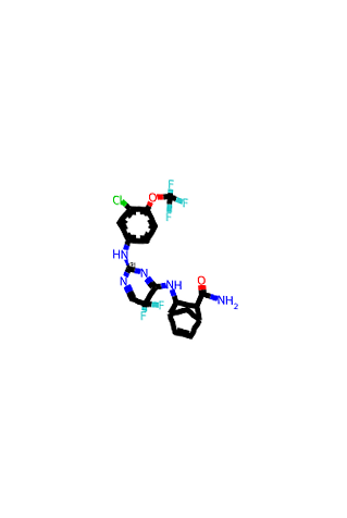 NC(=O)C1C2C=CC(C2)C1NC1=N[C@H](Nc2ccc(OC(F)(F)F)c(Cl)c2)N=CC1(F)F